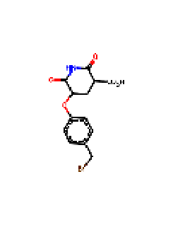 O=C1NC(=O)C(C(=O)O)CC1Oc1ccc(CBr)cc1